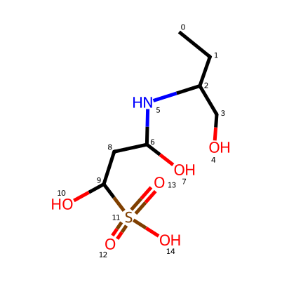 CCC(CO)NC(O)CC(O)S(=O)(=O)O